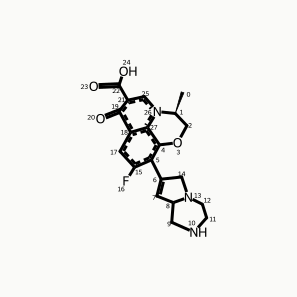 C[C@H]1COc2c(C3=CC4CNCCN4C3)c(F)cc3c(=O)c(C(=O)O)cn1c23